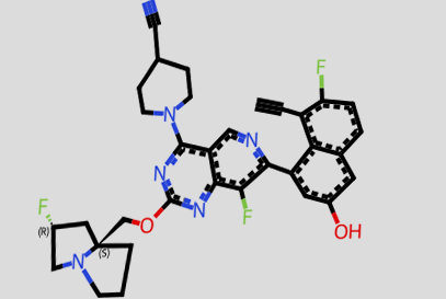 C#Cc1c(F)ccc2cc(O)cc(-c3ncc4c(N5CCC(C#N)CC5)nc(OC[C@@]56CCCN5C[C@H](F)C6)nc4c3F)c12